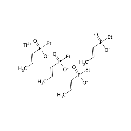 CC=CP(=O)([O-])CC.CC=CP(=O)([O-])CC.CC=CP(=O)([O-])CC.CC=CP(=O)([O-])CC.[Ti+4]